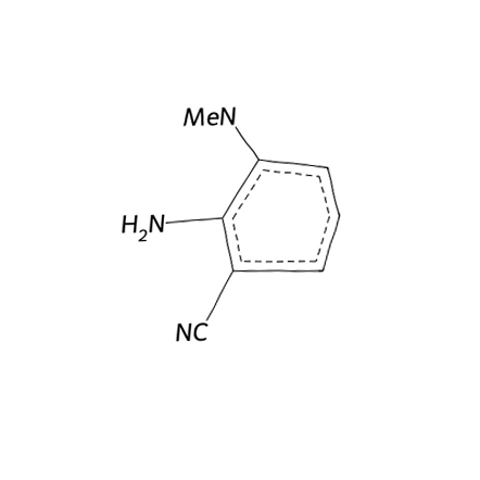 CNc1cccc(C#N)c1N